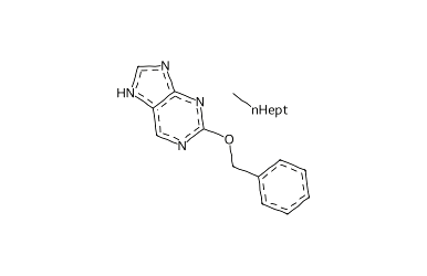 CCCCCCCC.c1ccc(COc2ncc3[nH]cnc3n2)cc1